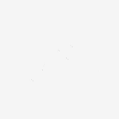 c1ccc(-c2nc(-c3ccc(-c4cccc5c4oc4ccccc45)cc3)nc(-c3cccc4sc5ccc(-c6ccc7c(c6)c6ccccc6n7-c6ccccc6)cc5c34)n2)cc1